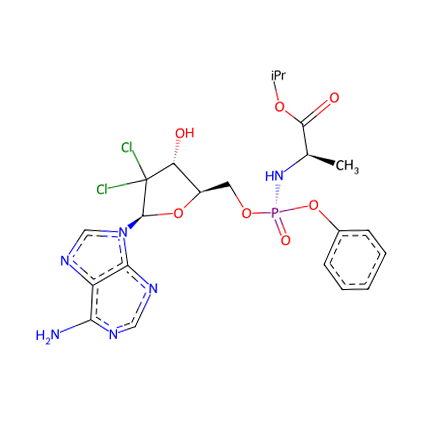 CC(C)OC(=O)[C@@H](C)N[P@](=O)(OC[C@H]1O[C@@H](n2cnc3c(N)ncnc32)C(Cl)(Cl)[C@@H]1O)Oc1ccccc1